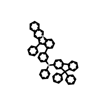 c1ccc(-c2c3c(-c4cccc(N(c5ccccc5)c5ccc6c(c5)C(c5ccccc5)(c5ccccc5)c5ccccc5-6)c4)cccc3n3cc4ccccc4cc23)cc1